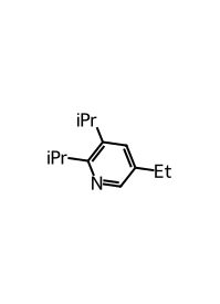 CCc1cnc(C(C)C)c(C(C)C)c1